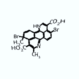 Cc1nc2c3c(c4c5c(c(Br)ccc52)C(C(=O)O)=CN4)C=CC(C)(Br)c3c1C(=O)O